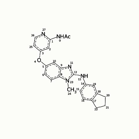 CC(=O)Nc1cc(Oc2ccc3c(c2)nc(Nc2ccc4c(c2)CCC4)n3C)ccn1